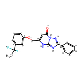 CC(F)(F)c1cccc(OCc2cc(=O)n3nc(-c4ccccc4)nc3[nH]2)c1